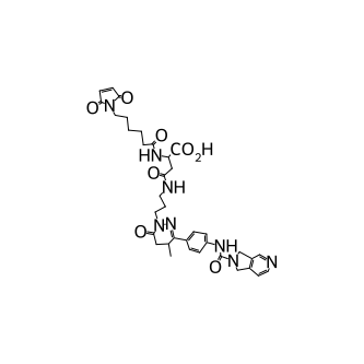 CC1CC(=O)N(CCCNC(=O)CC(NC(=O)CCCCCN2C(=O)C=CC2=O)C(=O)O)N=C1c1ccc(NC(=O)N2Cc3ccncc3C2)cc1